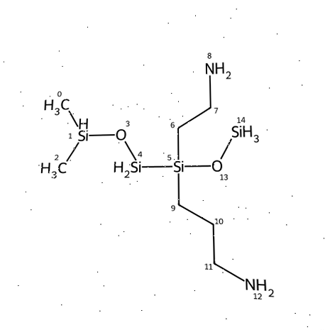 C[SiH](C)O[SiH2][Si](CCN)(CCCN)O[SiH3]